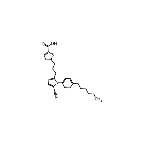 CCCCCCc1ccc(-n2c(C#N)ccc2CCCc2ccc(C(=O)O)s2)cc1